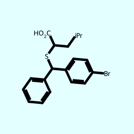 CC(C)CC(SC(c1ccccc1)c1ccc(Br)cc1)C(=O)O